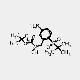 CN(Cc1cc(N)ccc1S(=O)(=O)C(C)(C)C)C(=O)OC(C)(C)C